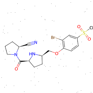 CS(=O)(=O)c1ccc(OC[C@H]2CC[C@@H](C(=O)N3CCC[C@H]3C#N)N2)c(Br)c1